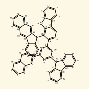 c1ccc2cc(-c3nc(-c4ccc5c(oc6ccccc65)c4-n4c5ccccc5c5cc6ccccc6cc54)nc(-n4c5ccccc5c5ccccc54)n3)ccc2c1